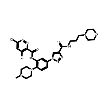 CN1CCN(c2ccc(-n3cc(C(=O)NCCCN4CCOCC4)nn3)cc2NC(=O)c2nnc(Cl)cc2Cl)CC1